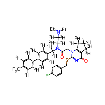 [2H]c1c([2H])c(C(F)(F)F)c([2H])c([2H])c1-c1c([2H])c([2H])c(C([2H])([2H])N(C(=O)Cn2c(SCc3ccc(F)cc3)nc(=O)c3c2C([2H])([2H])C([2H])(C)C3([2H])[2H])C([2H])([2H])C([2H])([2H])N(CC)CC)c([2H])c1[2H]